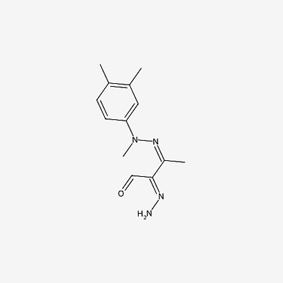 CC(=N/N(C)c1ccc(C)c(C)c1)/C(C=O)=N/N